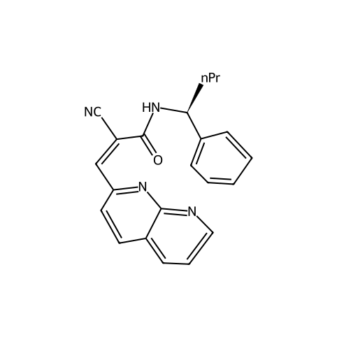 CCC[C@H](NC(=O)C(C#N)=Cc1ccc2cccnc2n1)c1ccccc1